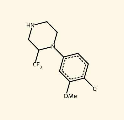 COc1cc(N2CCNCC2C(F)(F)F)ccc1Cl